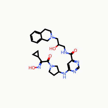 O=C(NCC(O)CN1CCc2ccccc2C1)c1cc(NC2CCN(C(=O)C(=NO)C3CC3)C2)ncn1